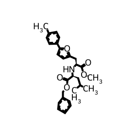 COC(=O)[C@H](Cc1ccc(-c2ccc(C)cc2)o1)N[C@@H](CC(C)C)C(=O)OCc1ccccc1